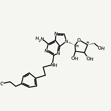 CCOC(=O)CCc1ccc(CCNc2nc(N)c3ncn([C@@H]4O[C@H](CO)C(O)C4O)c3n2)cc1